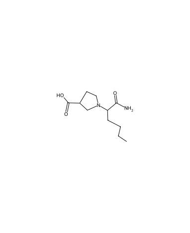 CCCCC(C(N)=O)N1CCC(C(=O)O)C1